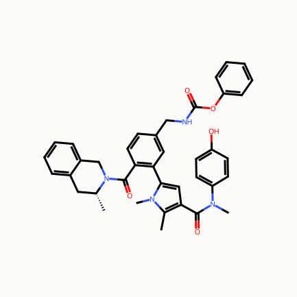 Cc1c(C(=O)N(C)c2ccc(O)cc2)cc(-c2cc(CNC(=O)Oc3ccccc3)ccc2C(=O)N2Cc3ccccc3C[C@H]2C)n1C